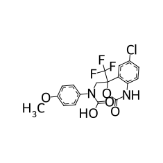 COc1ccc(N(CC2(C(F)(F)F)OC(=O)Nc3ccc(Cl)cc32)C(=O)O)cc1